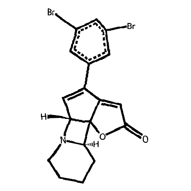 O=C1C=C2C(c3cc(Br)cc(Br)c3)=C[C@H]3N4CCCC[C@@H]4C23O1